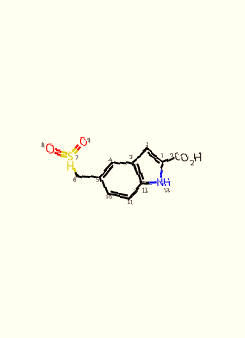 O=C(O)c1cc2cc(C[SH](=O)=O)ccc2[nH]1